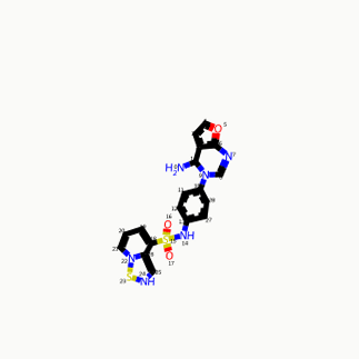 NC1c2ccoc2N=CN1c1ccc(NS(=O)(=O)C2=CC=CN3SNC=C23)cc1